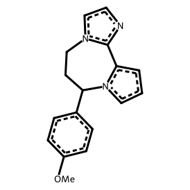 COc1ccc(C2CCn3ccnc3-c3cccn32)cc1